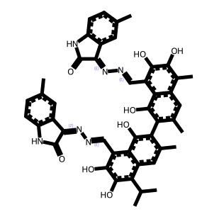 Cc1ccc2c(c1)/C(=N/N=C/c1c(O)c(O)c(C(C)C)c3cc(C)c(-c4c(C)cc5c(C)c(O)c(O)c(/C=N/N=C6/C(=O)Nc7ccc(C)cc76)c5c4O)c(O)c13)C(=O)N2